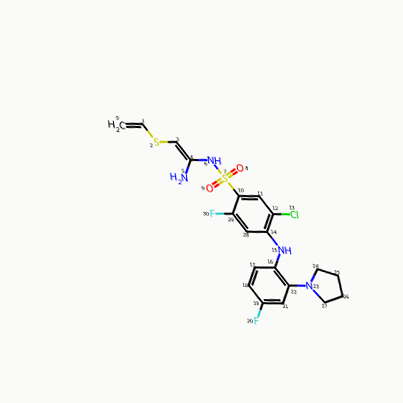 C=CS/C=C(\N)NS(=O)(=O)c1cc(Cl)c(Nc2ccc(F)cc2N2CCCC2)cc1F